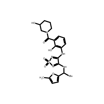 Cc1ccc(C(NC2=NS(=O)(=O)N=C2Nc2cccc(C(=O)N3CCCC(O)C3)c2O)C(C)(C)C)o1